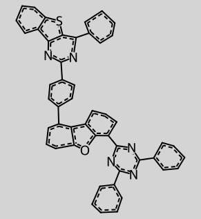 c1ccc(-c2nc(-c3ccccc3)nc(-c3cccc4c3oc3cccc(-c5ccc(-c6nc(-c7ccccc7)c7sc8ccccc8c7n6)cc5)c34)n2)cc1